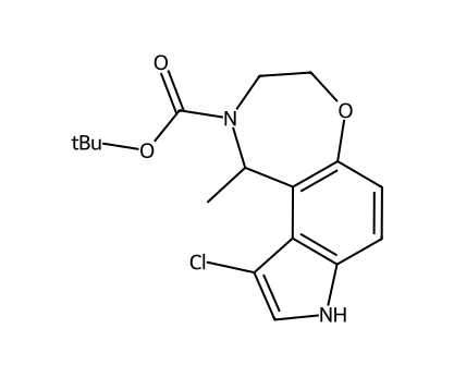 CC1c2c(ccc3[nH]cc(Cl)c23)OCCN1C(=O)OC(C)(C)C